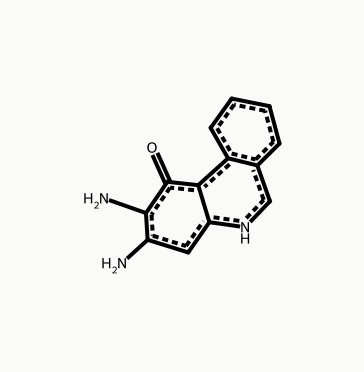 Nc1cc2[nH]cc3ccccc3c-2c(=O)c1N